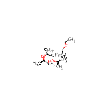 CC(C)O.CC(C)OC(C)C.CCOCC